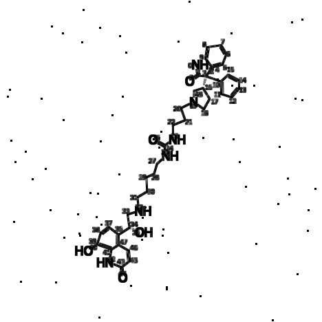 NC(=O)C(c1ccccc1)(c1ccccc1)[C@@H]1CCN(CCCNC(=O)NCCCCCNC[C@H](O)c2ccc(O)c3[nH]c(=O)ccc23)C1